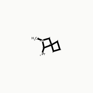 CC(C)C1N(C)CC12CCC2